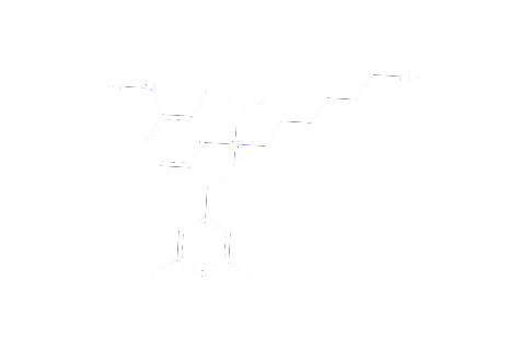 CCCCCCCCCCCCCCCC[N+](OCC)(OCc1cc(C)cc(C)c1)c1cccc(NCCCCCC)c1C(=O)OCC